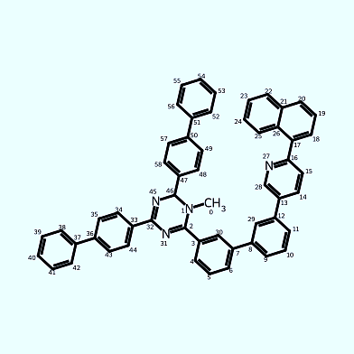 CN1C(c2cccc(-c3cccc(-c4ccc(-c5cccc6ccccc56)nc4)c3)c2)=NC(c2ccc(-c3ccccc3)cc2)=NC1c1ccc(-c2ccccc2)cc1